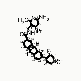 Cc1nc(N)cc(C(C)C)c1CNC(=O)c1ccc2c(c1)[C@@H]1O[C@H]2c2ccc(-c3cc[n+]([O-])cc3F)cc21